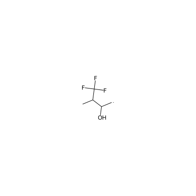 [CH2]C(O)C(C)C(F)(F)F